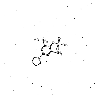 Nc1cc(N2CCCC2)cc(N)[n+]1OS(=O)(=O)O.[OH-]